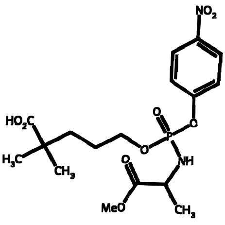 COC(=O)C(C)NP(=O)(OCCCC(C)(C)C(=O)O)Oc1ccc([N+](=O)[O-])cc1